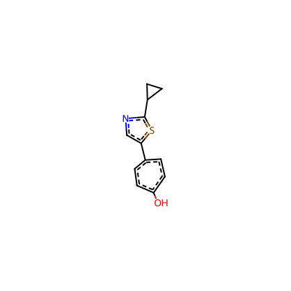 Oc1ccc(-c2cnc(C3CC3)s2)cc1